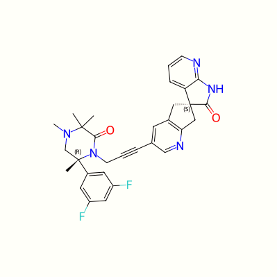 CN1C[C@@](C)(c2cc(F)cc(F)c2)N(CC#Cc2cnc3c(c2)C[C@@]2(C3)C(=O)Nc3ncccc32)C(=O)C1(C)C